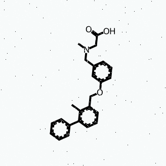 Cc1c(COc2cccc(CN(C)CC(=O)O)c2)cccc1-c1ccccc1